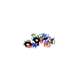 C=C(/N=C(\N(C)C(C)Cl)S(C)(=O)=O)C(=N)Oc1c(Cl)c(Cl)cc2c1cnn2C1CCCCO1